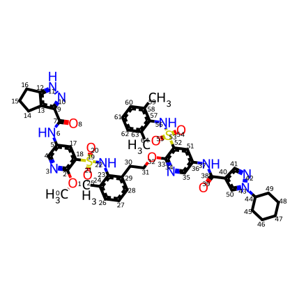 COc1ncc(NC(=O)c2n[nH]c3c2CCC3)cc1S(=O)(=O)Nc1c(C)cccc1CCOc1ncc(NC(=O)c2cnn(C3CCCCC3)c2)cc1S(=O)(=O)Nc1c(C)cccc1C